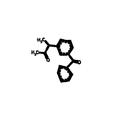 [CH2]C(C(C)=O)c1cccc(C(=O)c2ccccc2)c1